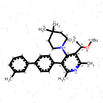 Cc1cccc(-c2ccc(-c3c(C)nc(C)c([C@H](OC(C)(C)C)C(=O)O)c3N3CCC(C)(C)CC3)cc2)c1